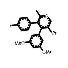 COc1cc(OC)cc(-c2c(C(C)C)cnc(C)c2-c2ccc(F)cc2)c1